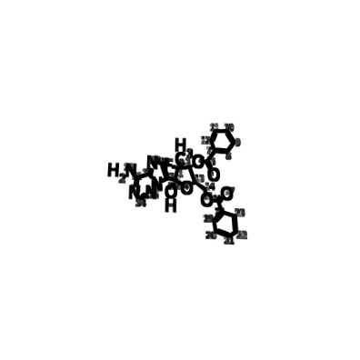 C[C@@]1(F)[C@H](OC(=O)c2ccccc2)[C@@H](COC(=O)c2ccccc2)O[C@@]1(O)c1cnc2c(N)ncnn12